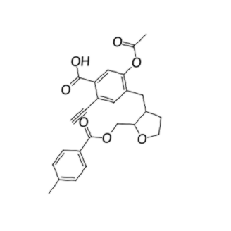 C#Cc1cc(CC2CCOC2COC(=O)c2ccc(C)cc2)c(OC(C)=O)cc1C(=O)O